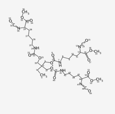 CCC(COC(=O)NCCCCC(N=C=O)C(=O)OC)(COC(=O)NCCCCC(N=C=O)C(=O)OC)COC(=O)NCCCCC(N=C=O)C(=O)OC